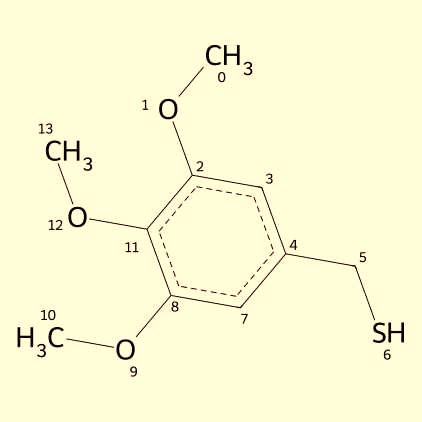 COc1cc(CS)cc(OC)c1OC